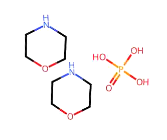 C1COCCN1.C1COCCN1.O=P(O)(O)O